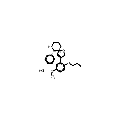 Cl.FCCOc1ccc(OC(F)(F)F)cc1C1=C[C@@]2(CCCN[C@H]2c2ccccc2)OC1